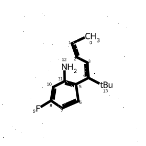 C/C=C\C=C(/c1ccc(F)cc1N)C(C)(C)C